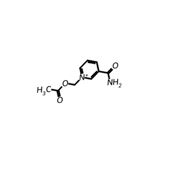 CC(=O)OC[n+]1cccc(C(N)=O)c1